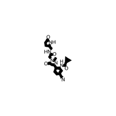 Cc1nc(-c2ccc(C#N)cc2NC(=O)C2CC2)cc(=O)n1CC(=O)NCC1CCC(=O)N1